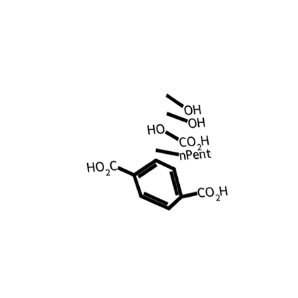 CCCCCC.CO.CO.O=C(O)O.O=C(O)c1ccc(C(=O)O)cc1